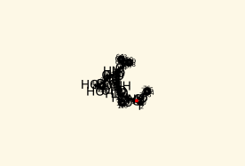 CC(F)(COCNC(=O)CNC(=O)[C@H](Cc1ccccc1)NC(=O)CNC(=O)CNC(=O)[C@H](CCC(=O)NC[C@@H]1O[C@H](CO)[C@@H](O)[C@H](O)[C@H]1O)NC(=O)OCC1c2ccccc2-c2ccccc21)C(=O)OCc1ccccc1